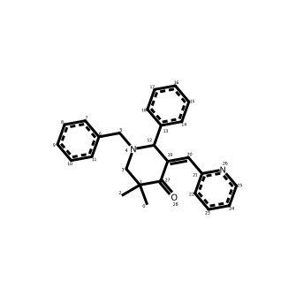 CC1(C)CN(Cc2ccccc2)C(c2ccccc2)C(=Cc2ccccn2)C1=O